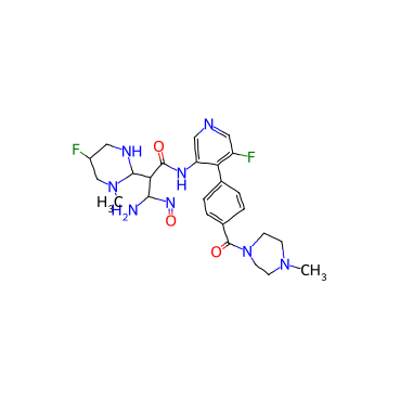 CN1CCN(C(=O)c2ccc(-c3c(F)cncc3NC(=O)C(C(N)N=O)C3NCC(F)CN3C)cc2)CC1